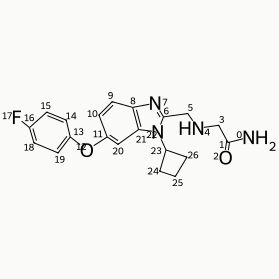 NC(=O)CNCc1nc2ccc(Oc3ccc(F)cc3)cc2n1C1CCC1